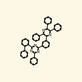 c1ccc(-c2nc(-c3cccc(-c4nc(-c5ccccc5)c(-c5ccccc5)nc4-c4ccccc4)c3)nc(-c3ccccc3-c3ccccc3)n2)cc1